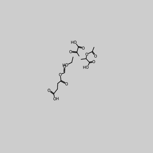 CC(=O)C(=O)O.CC(=O)OC(C)C(=O)O.CCO.O=COC(=O)CCC(=O)O